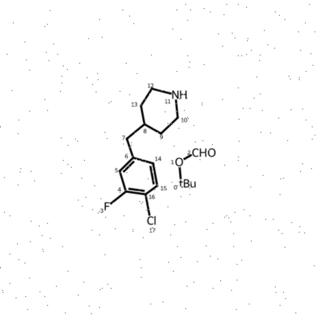 CC(C)(C)OC=O.Fc1cc(CC2CCNCC2)ccc1Cl